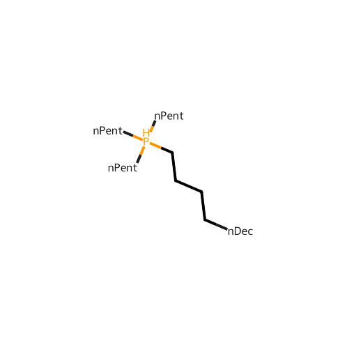 CCCCCCCCCCCCCC[PH](CCCCC)(CCCCC)CCCCC